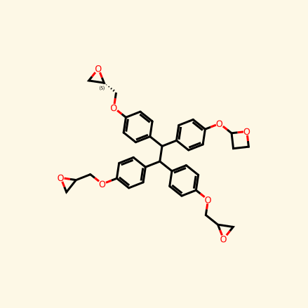 c1cc(C(c2ccc(OCC3CO3)cc2)C(c2ccc(OC[C@@H]3CO3)cc2)c2ccc(OC3CCO3)cc2)ccc1OCC1CO1